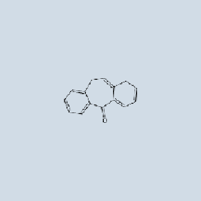 O=C1C2=CC=CCC2=CCc2ccccc21